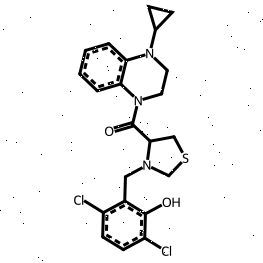 O=C(C1CSCN1Cc1c(Cl)ccc(Cl)c1O)N1CCN(C2CC2)c2ccccc21